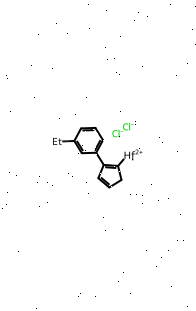 CCc1cccc(C2=[C]([Hf+2])CC=C2)c1.[Cl-].[Cl-]